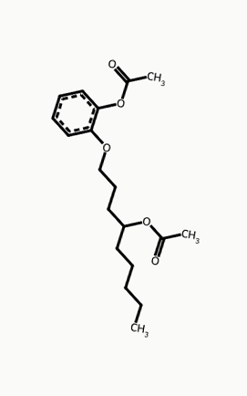 CCCCCC(CCCOc1ccccc1OC(C)=O)OC(C)=O